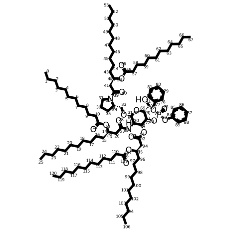 CCCCCCCCCCCC(=O)O[C@H](CCCCCCCCCCC)CC(=O)N[C@H]1[C@H](OC[C@@H]2CCCN2C(=O)C[C@@H](CCCCCCCCCCC)OC(=O)CCCCCCCCCCC)O[C@H](CO)[C@@H](OP(=O)(Oc2ccccc2)Oc2ccccc2)[C@@H]1OC(=O)C[C@@H](CCCCCCCCCCC)OC(=O)CCCCCCCCCCC